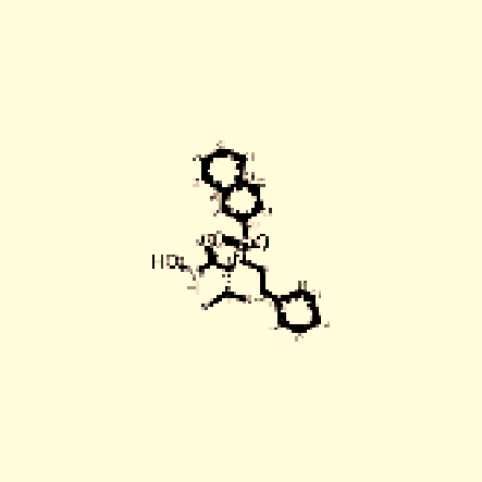 CC(C)[C@H](C(=O)NO)N(CCc1ccccc1)S(=O)(=O)c1ccc2ccccc2c1